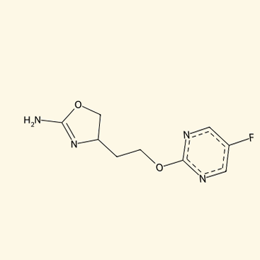 NC1=NC(CCOc2ncc(F)cn2)CO1